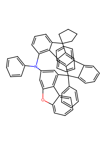 c1ccc(N(c2cc(C3(c4ccccc4)c4ccccc4-c4ccccc43)c3c(c2)oc2ccccc23)c2cccc3c2-c2ccccc2C32CCCC2)cc1